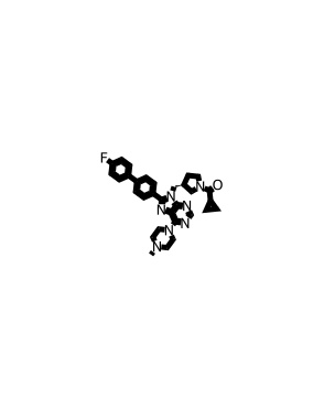 CN1CCN(c2ncnc3c2nc(-c2ccc(-c4ccc(F)cc4)cc2)n3C[C@@H]2CCN(C(=O)C3CC3)C2)CC1